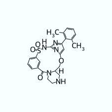 Cc1cccc(C)c1-c1cc2nc(n1)NS(=O)(=O)c1cccc(c1)C(=O)N1CCNC[C@@H]1CO2